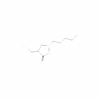 CCCCCN1CC(CO)C(=O)N1